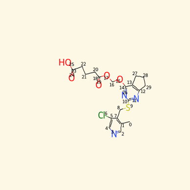 Cc1cncc(Cl)c1CSc1nc2c(c(OCOC(=O)CCCC(=O)O)n1)CCC2